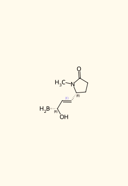 B[C@@H](O)/C=C/[C@H]1CCC(=O)N1C